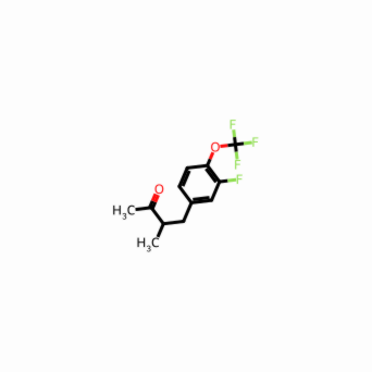 CC(=O)C(C)Cc1ccc(OC(F)(F)F)c(F)c1